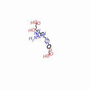 Nc1nc2c(cnn2CCN2CCN(c3ccc(OCC(=O)O)cc3)CC2)c2nc(C(O)CCC(=O)O)nn12